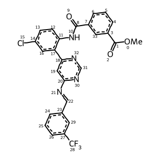 COC(=O)c1cccc(C(=O)Nc2ccc(Cl)cc2-c2cc(/N=C/c3cccc(C(F)(F)F)c3)ncn2)c1